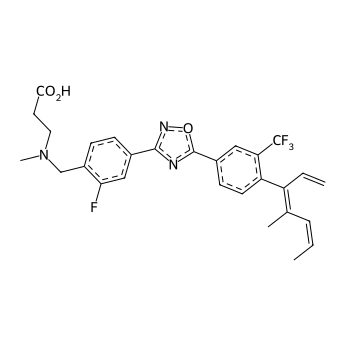 C=C/C(=C(C)\C=C/C)c1ccc(-c2nc(-c3ccc(CN(C)CCC(=O)O)c(F)c3)no2)cc1C(F)(F)F